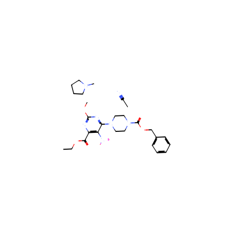 CCOC(=O)c1nc(OC[C@@H]2CCCN2C)nc(N2CCN(C(=O)OCc3ccccc3)[C@@H](CC#N)C2)c1[N+](=O)[O-]